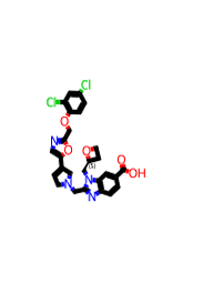 O=C(O)c1ccc2nc(CN3CC=C(c4cnc(COc5ccc(Cl)cc5Cl)o4)C3)n(C[C@@H]3CCO3)c2c1